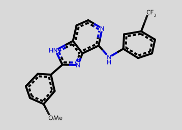 COc1cccc(-c2nc3c(Nc4cccc(C(F)(F)F)c4)nccc3[nH]2)c1